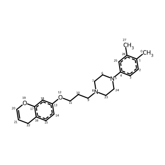 Cc1ccc(N2CCN(CCCOc3ccc4c(c3)OC=CC4)CC2)cc1C